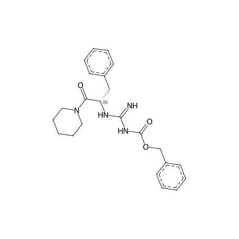 N=C(NC(=O)OCc1ccccc1)N[C@@H](Cc1ccccc1)C(=O)N1CCCCC1